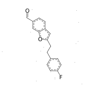 O=Cc1ccc2cc(CCc3ccc(F)cc3)oc2c1